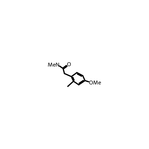 CNC(=O)Cc1ccc(OC)cc1C